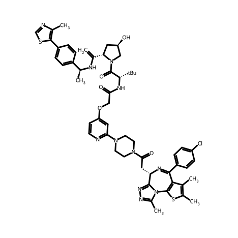 C=C(N[C@@H](C)c1ccc(-c2scnc2C)cc1)[C@@H]1C[C@@H](O)CN1C(=O)[C@@H](NC(=O)COc1ccnc(N2CCN(C(=O)C[C@@H]3N=C(c4ccc(Cl)cc4)c4c(sc(C)c4C)-n4c(C)nnc43)CC2)c1)C(C)(C)C